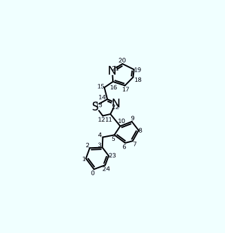 c1ccc(Cc2ccccc2C2CSC(Cc3ccccn3)=N2)cc1